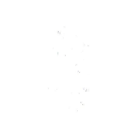 O=C1CCC(c2c(F)cc(N3CC(Nc4cc(C5CCCCC5)ccn4)C3)cc2F)C(=O)N1